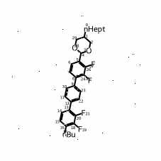 CCCCCCCC1COC(c2ccc(-c3ccc(-c4ccc(CCCC)c(F)c4F)cc3)c(F)c2F)OC1